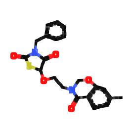 Cc1ccc2c(c1)OCN(CCOC1SC(=O)N(Cc3ccccc3)C1=O)C2=O